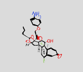 CCC[C@@H]1O[C@@H]2C[C@@H]3C(C[C@H](O)[C@@]4(F)[C@H]3C[C@H](F)C3=CC(=O)C=C[C@@]34C)[C@]2(C(=O)COc2ccc(N)cc2)O1